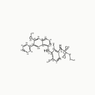 CCCS(=O)(=O)Nc1ccc(F)c(Nc2ncnc3cc(OC)c(-c4ccncc4)cc23)c1F